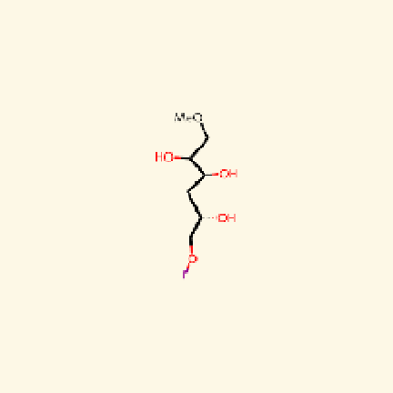 COCC(O)C(O)C[C@H](O)COI